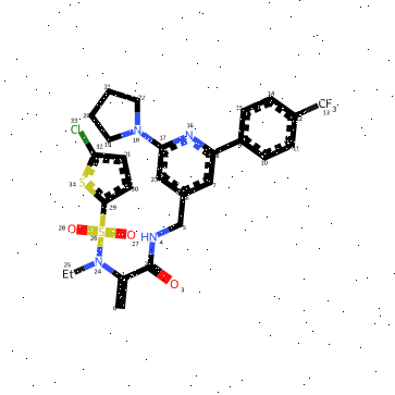 C=C(C(=O)NCc1cc(-c2ccc(C(F)(F)F)cc2)nc(N2CCCC2)c1)N(CC)S(=O)(=O)c1ccc(Cl)s1